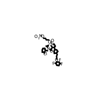 O=C(OCCCCO[N+](=O)[O-])N1CC=C(c2ccc(CCCOc3c(F)ccc(F)c3F)cc2)C(C(=O)N(Cc2ccccc2Cl)C2CC2)C1